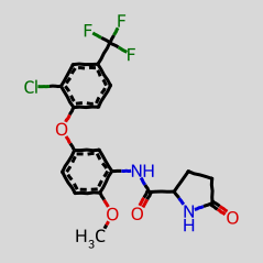 COc1ccc(Oc2ccc(C(F)(F)F)cc2Cl)cc1NC(=O)C1CCC(=O)N1